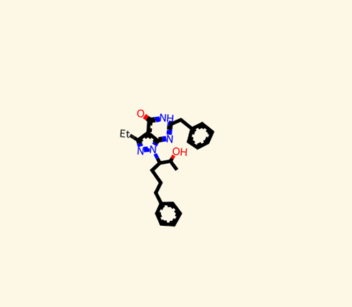 CCc1nn(C(CCCc2ccccc2)C(C)O)c2nc(Cc3ccccc3)[nH]c(=O)c12